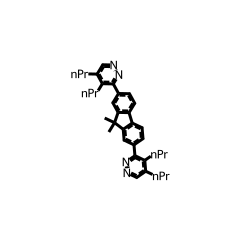 CCCc1cnnc(-c2ccc3c(c2)C(C)(C)c2cc(-c4nncc(CCC)c4CCC)ccc2-3)c1CCC